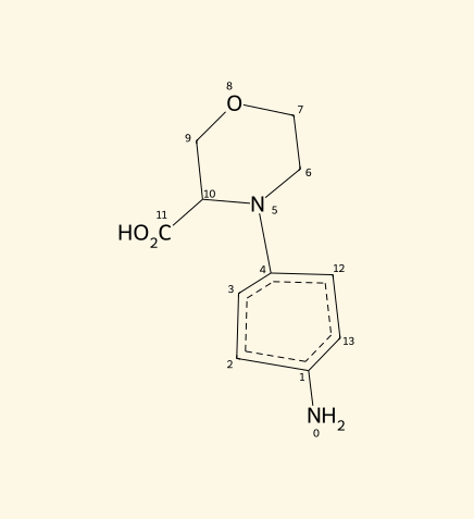 Nc1ccc(N2CCOCC2C(=O)O)cc1